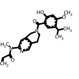 C=CC(=O)N(C)c1cc2c(cn1)CCN(C(=O)c1cc(C(C)C)c(OC)cc1O)C2